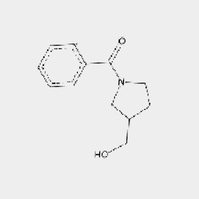 O=C(c1[c]cccc1)N1CCC(CO)C1